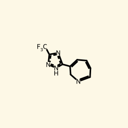 FC(F)(F)c1n[nH]c(C2=CC=CC=NC2)n1